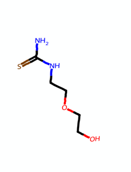 NC(=S)NCCOCCO